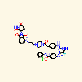 O=C1CCC(N2C(=O)C3C=CC=C(NCCCN4CCN(C(=O)CC5=CC=C(NC6N=C(NC7C=CC(C(=O)Nc8ccccc8Cl)=CC7)C(F)=CN6)CC5)CC4)C3C2=O)C(=O)N1